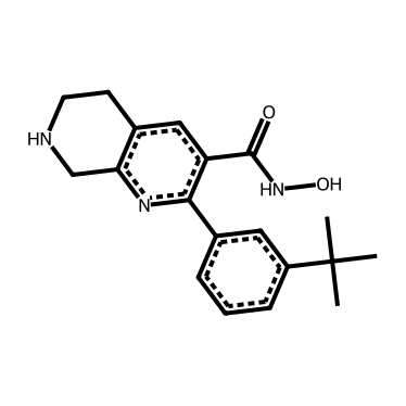 CC(C)(C)c1cccc(-c2nc3c(cc2C(=O)NO)CCNC3)c1